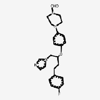 O=CN1CCN(c2ccc(OC(CCc3ccc(F)cc3)Cn3ccnc3)cc2)CC1